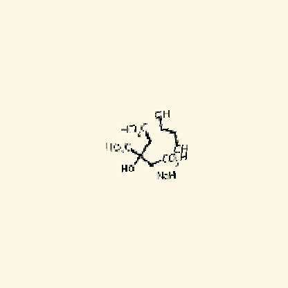 O=C(O)CC(O)(CC(=O)O)C(=O)O.OCCO.[NaH]